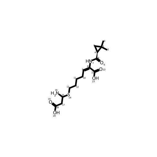 CC1(C)C[C@@H]1C(=O)N/C(=C/CCCCSC(N)CC(=O)O)C(=O)O